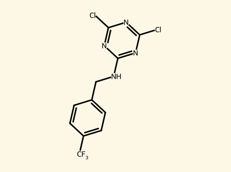 FC(F)(F)c1ccc(CNc2nc(Cl)nc(Cl)n2)cc1